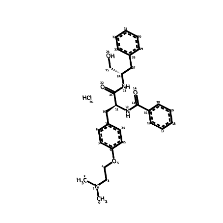 CN(C)CCOc1ccc(C[C@H](NC(=O)c2ccccc2)C(=O)N[C@H](CO)Cc2ccccc2)cc1.Cl